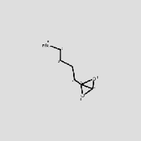 CCCCCCCCC12OC1O2